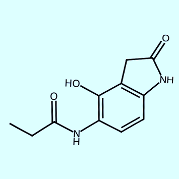 CCC(=O)Nc1ccc2c(c1O)CC(=O)N2